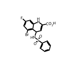 O=C(O)C1=CC(NS(=O)(=O)c2ccccc2)c2c(Br)cc(F)cc2N1